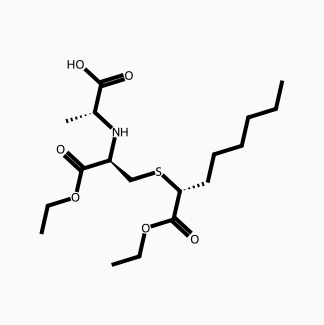 CCCCCC[C@@H](SC[C@H](N[C@H](C)C(=O)O)C(=O)OCC)C(=O)OCC